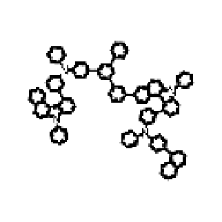 c1ccc(-c2cc(-c3ccc(N(c4ccccc4)c4cccc(-c5cccc6c5c5c7ccccc7ccc5n6-c5ccccc5)c4)cc3)cc(-c3cccc(-c4ccc5c(ccc6c5c5c(-c7cccc(N(c8ccccc8)c8ccc(-c9cccc%10ccccc9%10)cc8)c7)cccc5n6-c5ccccc5)c4)c3)c2)cc1